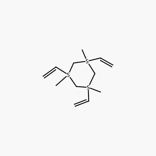 C=CS1(C)CS(C)(C=C)CS(C)(C=C)C1